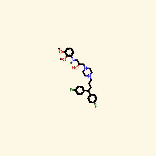 COc1cccc(N(C)CC(O)CN2CCN(CCCC(c3ccc(F)cc3)c3ccc(F)cc3)CC2)c1OC